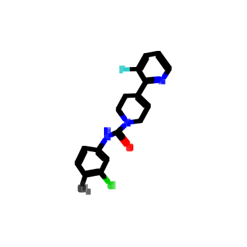 O=C(Nc1ccc(C(F)(F)F)c(Cl)c1)N1CC=C(c2ncccc2F)CC1